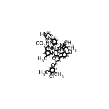 Cc1cc(N2CC(C)n3c(c(CCCOc4cc(C)c(Cl)c(C)c4)c4ccc(Cl)c(-c5c(C)nn(C)c5C)c43)C2=O)c2c(c1)cc(C(=O)O)n2Cc1cccc(N2CCNCC2)n1